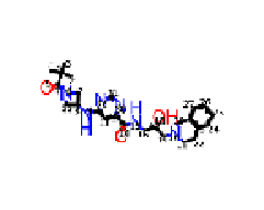 CC(C)(C)C(=O)N1CC(Nc2cc(C(=O)NC[C@H](O)CN3CCc4ccccc4C3)ncn2)C1